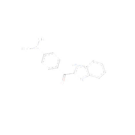 CN(C)c1ccc(C(=O)c2nc3ccccc3[nH]2)cc1